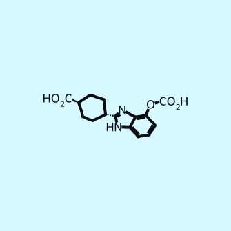 O=C(O)Oc1cccc2[nH]c([C@H]3CC[C@H](C(=O)O)CC3)nc12